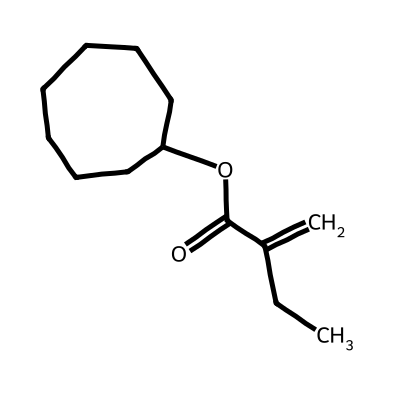 C=C(CC)C(=O)OC1CCCCCCC1